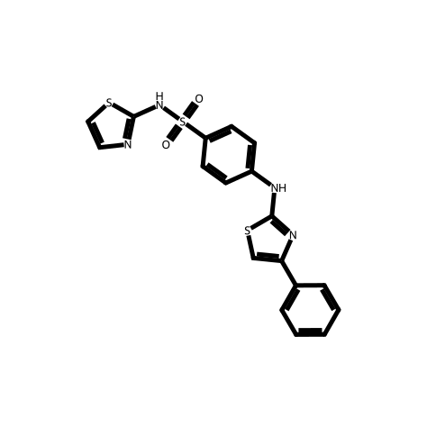 O=S(=O)(Nc1nccs1)c1ccc(Nc2nc(-c3ccccc3)cs2)cc1